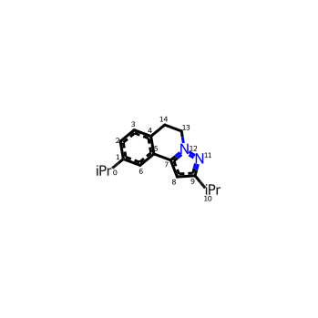 CC(C)c1ccc2c(c1)-c1cc(C(C)C)nn1CC2